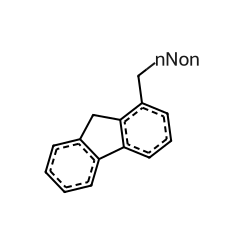 CCCCCCCCCCc1cccc2c1Cc1ccccc1-2